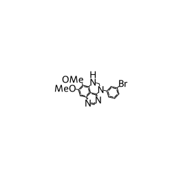 COc1cc2ncnc3c2c(c1OC)NCN3c1cccc(Br)c1